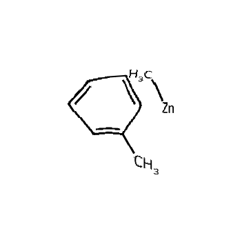 Cc1ccccc1.[CH3][Zn]